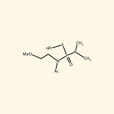 CCCSP(=O)(N(C)C)N(CCOC)C(C)=O